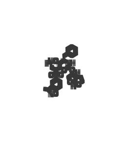 Cc1noc2ccc(S(=O)(=O)N(CC(C)C)C[C@@H](O)[C@H](Cc3ccccc3)NC(=O)OC3CO[C@H]4OCC[C@@H]34)cc12